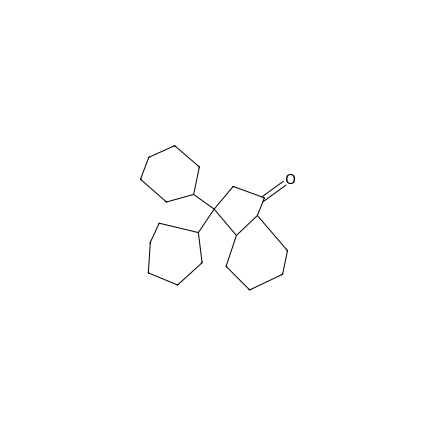 O=C1CC(C2CCCCC2)(C2CCCCC2)C2CCCCC12